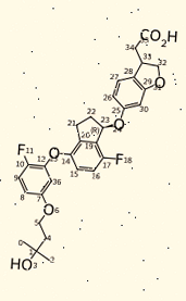 CC(C)(O)CCOc1ccc(F)c(Oc2ccc(F)c3c2CC[C@H]3Oc2ccc3c(c2)OCC3CC(=O)O)c1